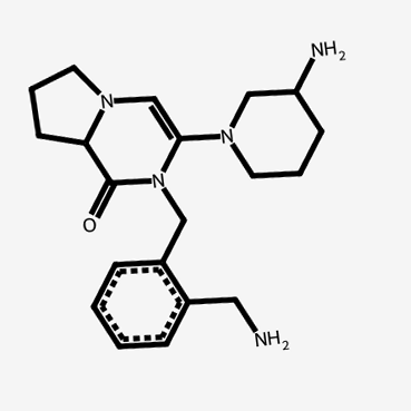 NCc1ccccc1CN1C(=O)C2CCCN2C=C1N1CCCC(N)C1